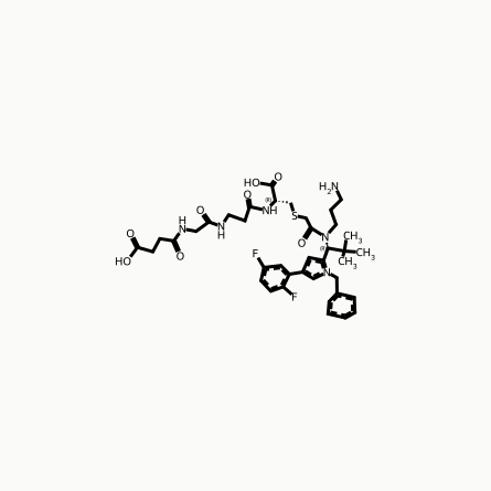 CC(C)(C)[C@H](c1cc(-c2cc(F)ccc2F)cn1Cc1ccccc1)N(CCCN)C(=O)CSC[C@H](NC(=O)CCNC(=O)CNC(=O)CCC(=O)O)C(=O)O